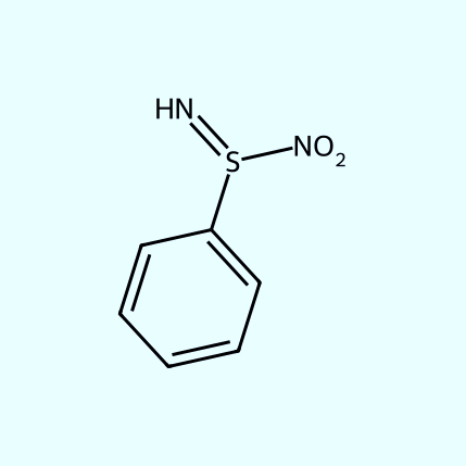 N=S(c1ccccc1)[N+](=O)[O-]